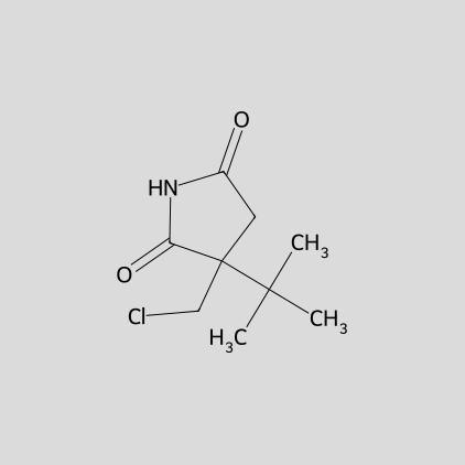 CC(C)(C)C1(CCl)CC(=O)NC1=O